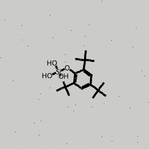 CC(C)(C)c1cc(C(C)(C)C)c(O[Si](O)(O)O)c(C(C)(C)C)c1